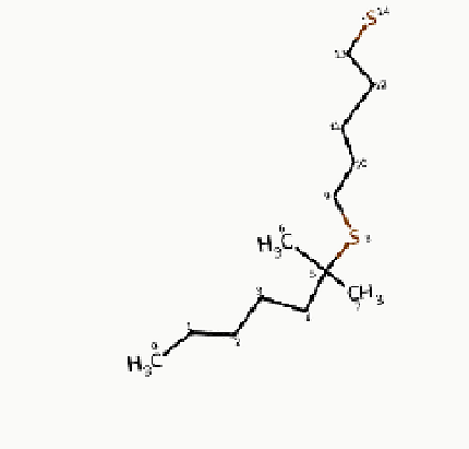 CCCCCC(C)(C)SCCCCC[S]